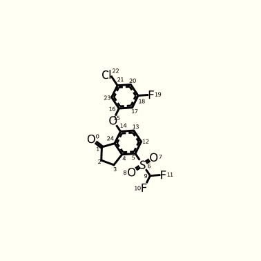 O=C1CCc2c(S(=O)(=O)C(F)F)ccc(Oc3cc(F)cc(Cl)c3)c21